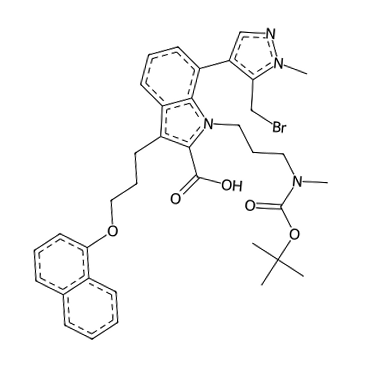 CN(CCCn1c(C(=O)O)c(CCCOc2cccc3ccccc23)c2cccc(-c3cnn(C)c3CBr)c21)C(=O)OC(C)(C)C